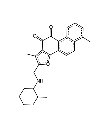 Cc1c(CNC2CCCCC2C)oc2c1C(=O)C(=O)c1c-2ccc2c(C)cccc12